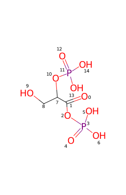 O=C(OP(=O)(O)O)C(CO)OP(=O)(O)O